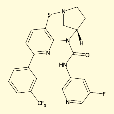 O=C(Nc1cncc(F)c1)N1c2nc(-c3cccc(C(F)(F)F)c3)ccc2SN2CC[C@H]1C2